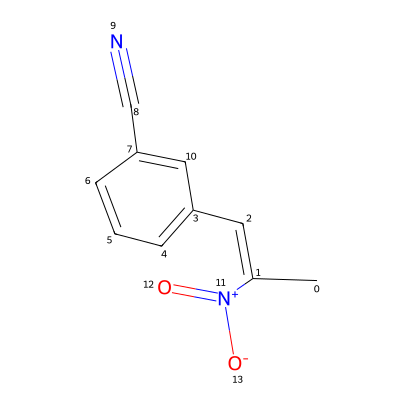 CC(=Cc1cccc(C#N)c1)[N+](=O)[O-]